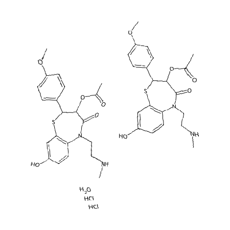 CNCCN1C(=O)C(OC(C)=O)C(c2ccc(OC)cc2)Sc2cc(O)ccc21.CNCCN1C(=O)C(OC(C)=O)C(c2ccc(OC)cc2)Sc2cc(O)ccc21.Cl.Cl.O